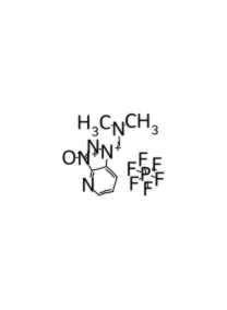 CN(C)C=[N+]1N=[N+]([O-])c2ncccc21.F[P-](F)(F)(F)(F)F